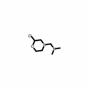 CN(C)[C]N1CCOC(Cl)C1